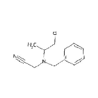 CC(CCl)N(CC#N)Cc1ccccc1